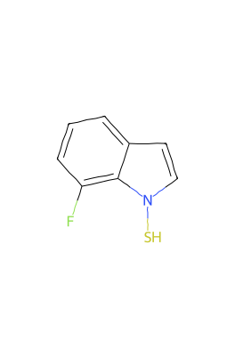 Fc1cccc2ccn(S)c12